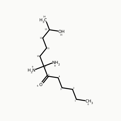 CCCCCC(=O)C(N)(N)CCCC(C)O